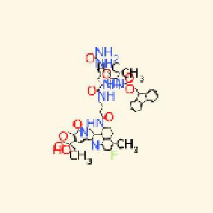 CC[C@@]1(O)C(=O)OCc2c1cc1n(c2=O)Cc2c-1nc1cc(F)c(C)c3c1c2[C@@H](NC(=O)CCCNC(=O)[C@H](CCCNC(N)=O)NC(=O)[C@@H](NC(=O)OCC1c2ccccc2-c2ccccc21)C(C)C)CC3